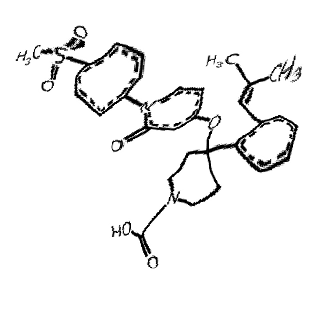 CC(C)=Cc1ccccc1C1(Oc2ccn(-c3ccc(S(C)(=O)=O)cc3)c(=O)c2)CCN(C(=O)O)CC1